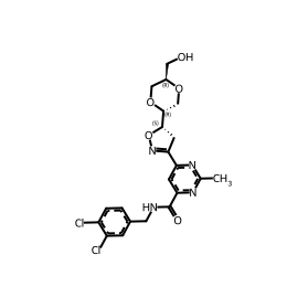 Cc1nc(C(=O)NCc2ccc(Cl)c(Cl)c2)cc(C2=NO[C@H]([C@H]3CO[C@H](CO)CO3)C2)n1